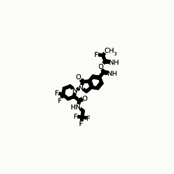 CC(F)C(=N)OC(=N)c1ccc2c(c1)C(=O)N(N1CCC(F)(F)CC1C(=O)NCC(F)(F)F)C2